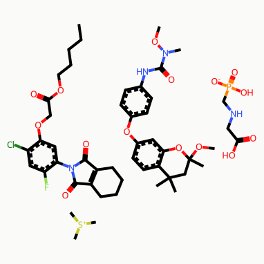 CCCCCOC(=O)COc1cc(N2C(=O)C3=C(CCCC3)C2=O)c(F)cc1Cl.CON(C)C(=O)Nc1ccc(Oc2ccc3c(c2)OC(C)(OC)CC3(C)C)cc1.C[S+](C)C.O=C(O)CNCP(=O)([O-])O